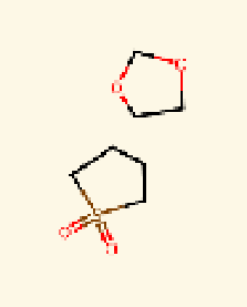 C1COCO1.O=S1(=O)CCCC1